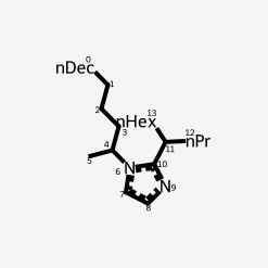 CCCCCCCCCCCCCC(C)n1ccnc1C(CCC)CCCCCC